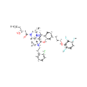 O=C(O)C[C@@H](O)CC(=O)N1C[C@H]2CC(c3ccc(CCCOc4c(F)ccc(F)c4F)cc3)=C(C(=O)N(CCc3ccccc3Cl)C3CC3)[C@@H](C1)N2